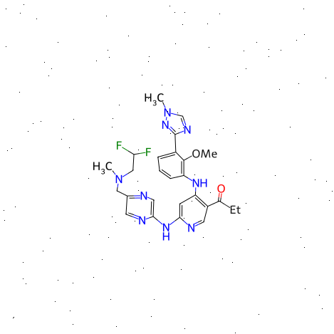 CCC(=O)c1cnc(Nc2cnc(CN(C)CC(F)F)cn2)cc1Nc1cccc(-c2ncn(C)n2)c1OC